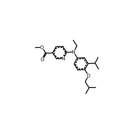 CCN(c1ccc(OCC(C)C)c(C(C)C)c1)c1ccc(C(=O)OC)cn1